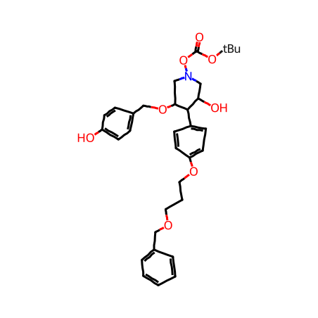 CC(C)(C)OC(=O)ON1CC(O)C(c2ccc(OCCCOCc3ccccc3)cc2)C(OCc2ccc(O)cc2)C1